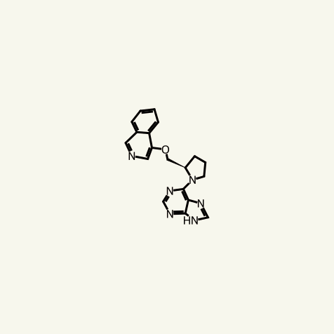 c1ccc2c(OC[C@H]3CCCN3c3ncnc4[nH]cnc34)cncc2c1